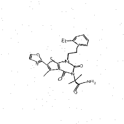 CCc1ccccc1CCn1c(=O)n(C(C)(C)C(N)=O)c(=O)c2c(C)c(-c3ncco3)sc21